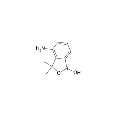 CC1(C)OB(O)c2cccc(N)c21